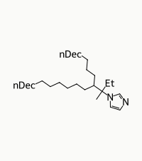 CCCCCCCCCCCCCCCCC(CCCCCCCCCCCCC)C(C)(CC)n1ccnc1